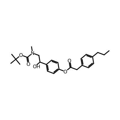 CCCc1ccc(CC(=O)Oc2ccc(C(O)CN(C)C(=O)OC(C)(C)C)cc2)cc1